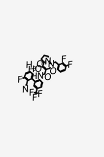 C[C@]12CCCN1N(Cc1cccc(F)c1F)C(=O)C(C(=O)Nc1ccc(C(F)(F)F)cc1-c1cccc(F)c1C#N)=C2O